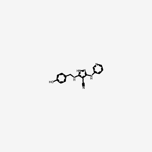 N#Cc1c(Nc2cccnc2)n[nH]c1NCc1ccc(O)cc1